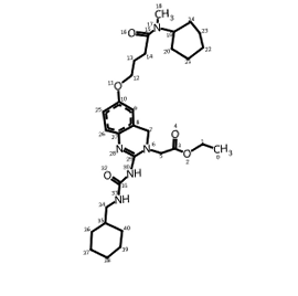 CCOC(=O)CN1Cc2cc(OCCCC(=O)N(C)C3CCCCC3)ccc2N=C1NC(=O)NCC1CCCCC1